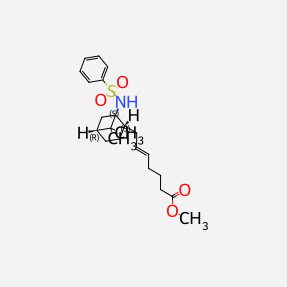 COC(=O)CCCC=CC[C@@H]1CC[C@@H]2C[C@@]1(NS(=O)(=O)c1ccccc1)C2(C)C